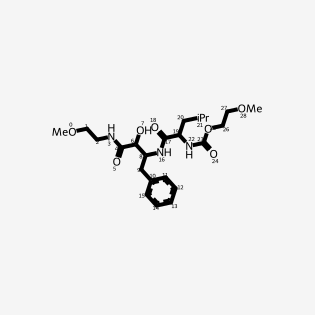 COCCNC(=O)C(O)C(Cc1ccccc1)NC(=O)C(CC(C)C)NC(=O)OCCOC